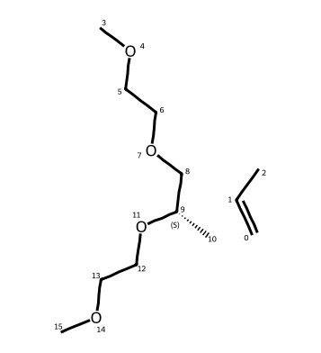 C=CC.COCCOC[C@H](C)OCCOC